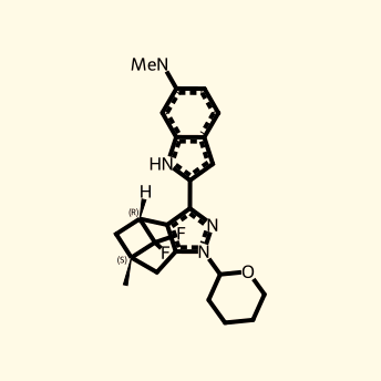 CNc1ccc2cc(-c3nn(C4CCCCO4)c4c3[C@H]3C[C@@](C)(C4)C3(F)F)[nH]c2c1